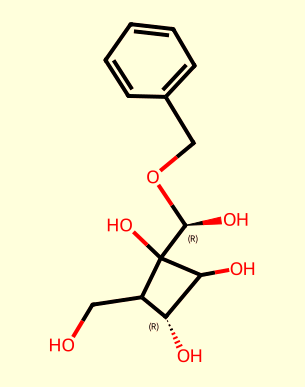 OCC1[C@@H](O)C(O)C1(O)[C@H](O)OCc1ccccc1